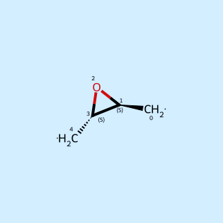 [CH2][C@@H]1O[C@H]1[CH2]